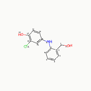 OCc1ccccc1Nc1ccc(O)c(Cl)c1